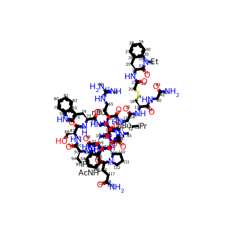 CCCC[C@@H](C(=O)N(C)[C@@H](CCCC)C(=O)N[C@@H](CC(C)C)C(=O)N[C@@H](CSCC(=O)N[C@@H](Cc1ccccc1)C(=O)N(C)CC)C(=O)NCC(N)=O)N(C)C(=O)[C@H](Cc1c[nH]c2ccccc12)NC(=O)[C@H](CCCNC(=N)N)NC(=O)[C@H](Cc1c[nH]c2ccccc12)NC(=O)[C@H](CO)NC(=O)[C@H](CC(C)C)NC(=O)[C@H](Cc1cnc[nH]1)NC(=O)[C@@H]1CCCN1C(=O)[C@H](CC(N)=O)NC(C)=O